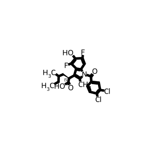 CCC(C)C[C@H](C(=O)O)c1c(C)n(C(=O)c2ccc(Cl)c(Cl)c2)c2cc(F)c(O)c(F)c12